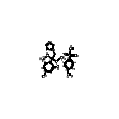 COC(Cn1ccnc1)(OC)c1ccc(Cl)cc1Cl.Cc1ccc(S(=O)(=O)O)cc1